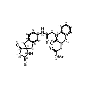 COC(=O)CC1Oc2ccccc2N(CC(=O)Nc2ccc3c(c2)CC2(C3)NC(=O)NC2=O)C1=O